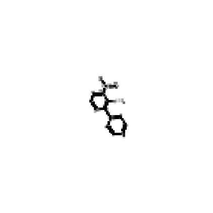 Cc1c(-c2ccncc2)cccc1[N+](=O)[O-]